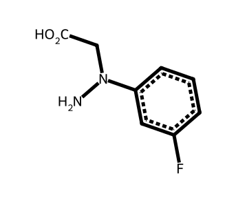 NN(CC(=O)O)c1cccc(F)c1